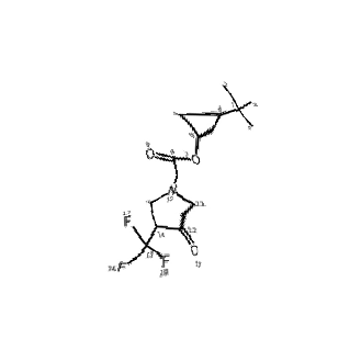 CC(C)(C)C1CC1OC(=O)N1CC(=O)C(C(F)(F)F)C1